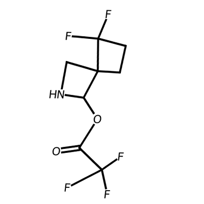 O=C(OC1NCC12CCC2(F)F)C(F)(F)F